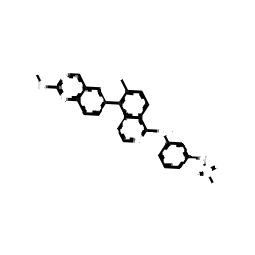 CNc1ncc2cc(-c3c(C)ccc4c(Nc5cccc(NS(C)(=O)=O)c5)nccc34)ccc2n1